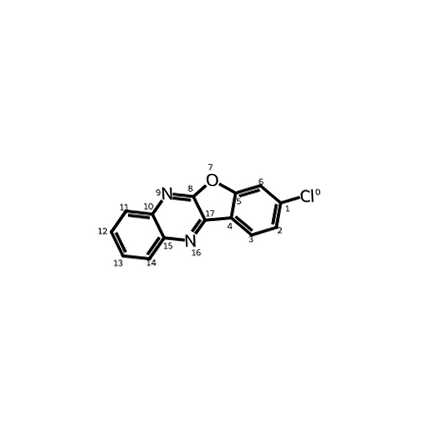 Clc1ccc2c(c1)oc1nc3ccccc3nc12